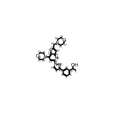 CC(O)c1cccc(-c2ccn(-c3cc(N4CCOCC4)c4sc(CN5CCOCC5)cc4n3)n2)c1